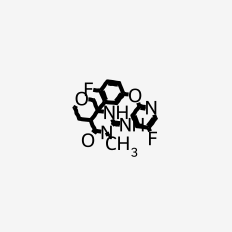 CN1C(=N)NC2(c3cc(Oc4ccc(F)cn4)ccc3F)COCCC2C1=O